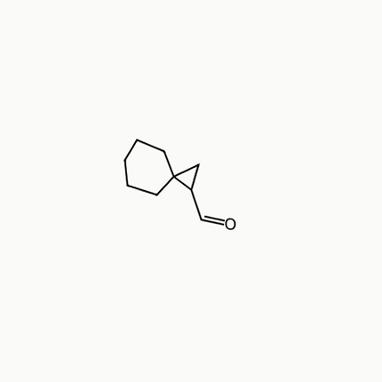 O=CC1CC12CCCCC2